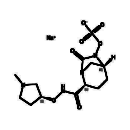 CN1CC[C@H](ONC(=O)[C@@H]2CC[C@@H]3CN2C(=O)N3OS(=O)(=O)[O-])C1.[Na+]